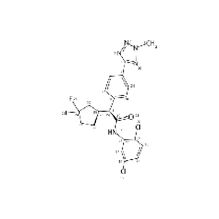 Cn1nnc(-c2ccc([C@@H](C(=O)Nc3cc(Cl)ccc3Cl)[C@H]3CCC(F)(F)C3)cc2)n1